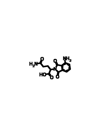 NC(=O)CCC(C(=O)O)N1C(=O)c2cccc(N)c2C1=O